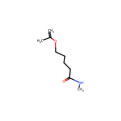 C=C(C)OCCCCC(=O)NC